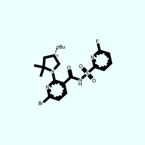 CCCC[C@@H]1CN(c2nc(Br)ccc2C(=O)NS(=O)(=O)c2cccc(F)n2)C(C)(C)C1